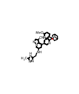 COc1ccc(CN2C3CC2CN(c2ccc(-c4cc(NCCc5nnc(C)[nH]5)cn5ncc(C#N)c45)cn2)C3)cn1